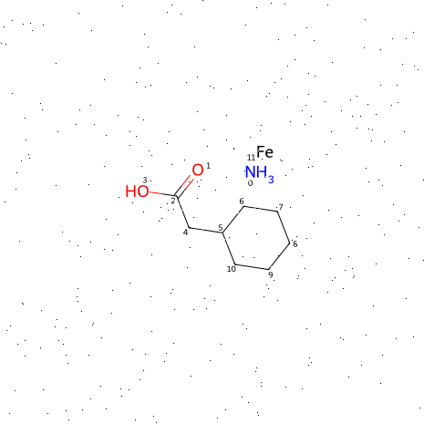 N.O=C(O)CC1CCCCC1.[Fe]